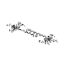 C[SiH2]O[Si](C)(C)O[Si](C)(CCCOCC(O)CN1CCN(CC(O)COCCC[Si](C)(O[Si](C)(C)C)O[Si](C)(C)O[SiH2]C)CC1)O[Si](C)(C)C